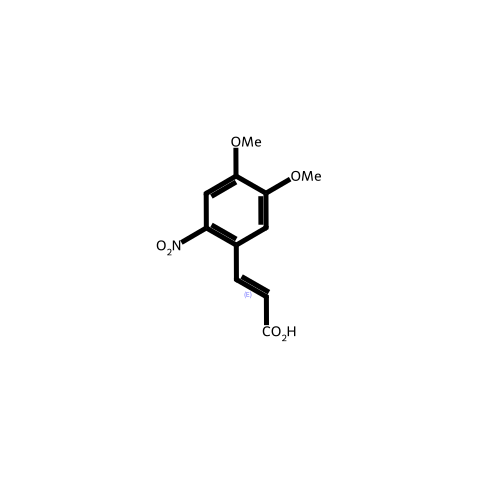 COc1cc(/C=C/C(=O)O)c([N+](=O)[O-])cc1OC